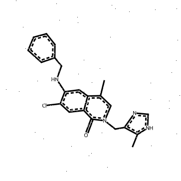 Cc1[nH]cnc1Cn1cc(C)c2cc(NCc3ccccc3)c(Cl)cc2c1=O